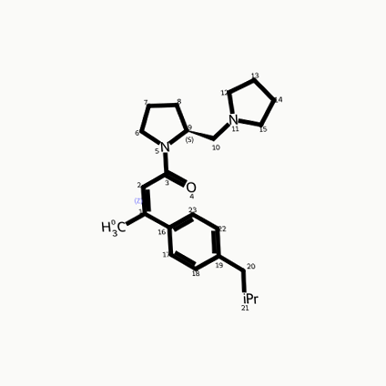 C/C(=C/C(=O)N1CCC[C@H]1CN1CCCC1)c1ccc(CC(C)C)cc1